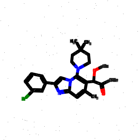 COC(=O)C(OC(C)(C)C)c1c(C)cc2nc(-c3cccc(Br)c3)cn2c1N1CCC(C)(C)CC1